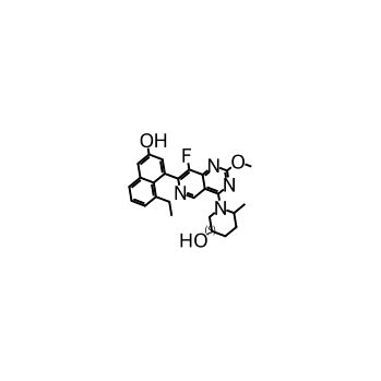 CCc1cccc2cc(O)cc(-c3ncc4c(N5C[C@@H](O)CCC5C)nc(OC)nc4c3F)c12